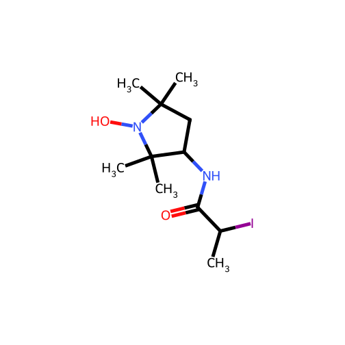 CC(I)C(=O)NC1CC(C)(C)N(O)C1(C)C